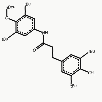 CCCCCCCCCCOc1c(C(C)(C)C)cc(NC(=O)CCc2cc(C(C)(C)C)c(C)c(C(C)(C)C)c2)cc1C(C)(C)C